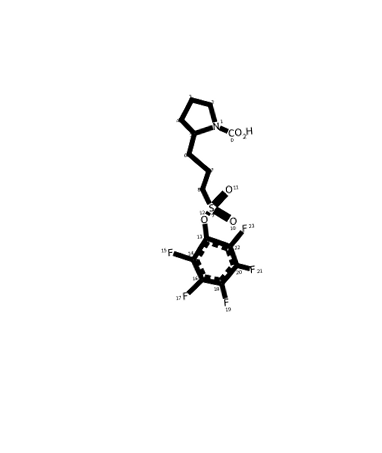 O=C(O)N1CCCC1CCCS(=O)(=O)Oc1c(F)c(F)c(F)c(F)c1F